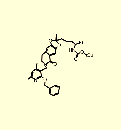 CCC(CCCC1(C)Oc2cc3c(cc2O1)C(=O)N(Cc1c(C)cc(C)nc1OCc1ccccc1)CC3)NC(=O)OC(C)(C)C